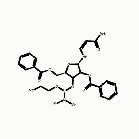 CC(C)N(C(C)C)P(OCCC#N)OC1C(OC(=O)c2ccccc2)[C@H](N/C=C\C(N)=O)O[C@@H]1COC(=O)c1ccccc1